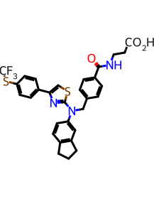 O=C(O)CCNC(=O)c1ccc(CN(c2ccc3c(c2)CCC3)c2nc(-c3ccc(SC(F)(F)F)cc3)cs2)cc1